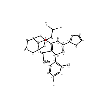 COC(=O)C1=C(CN2C3COCC2CN(CC(F)F)C3)NC(c2nccs2)=N[C@H]1c1ccc(F)cc1Cl